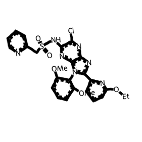 CCOc1cccc(-c2nc3nc(Cl)c(NS(=O)(=O)Cc4ccccn4)nc3n2-c2c(OC)cccc2OC)n1